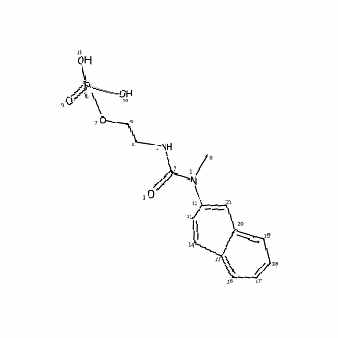 CN(C(=O)NCCOP(=O)(O)O)c1ccc2ccccc2c1